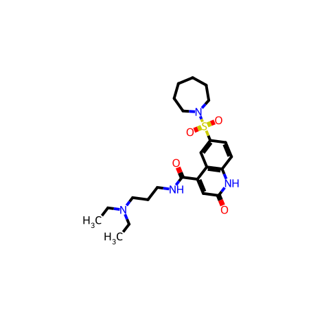 CCN(CC)CCCNC(=O)c1cc(=O)[nH]c2ccc(S(=O)(=O)N3CCCCCC3)cc12